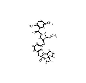 COC1CN(C(=O)c2cc(C)ccc2C)CC1Oc1cccc(CS(=O)(=O)N2CCC23CCOC3)c1